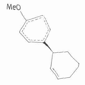 COc1ccc([C@@H]2C=CCCC2)cc1